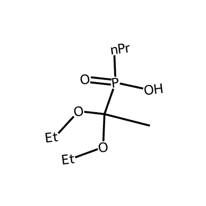 CCCP(=O)(O)C(C)(OCC)OCC